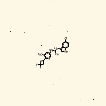 N#Cc1cc(NC(O)Nc2c[nH]c3ccc(Cl)cc23)cnc1C1CC(F)(F)C1